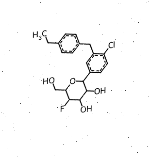 CCc1ccc(Cc2cc(C3OC(CO)C(F)C(O)C3O)ccc2Cl)cc1